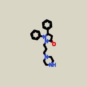 O=C1CC(c2ccccc2)N(c2ccccc2)N1CCCN1CCNCC1